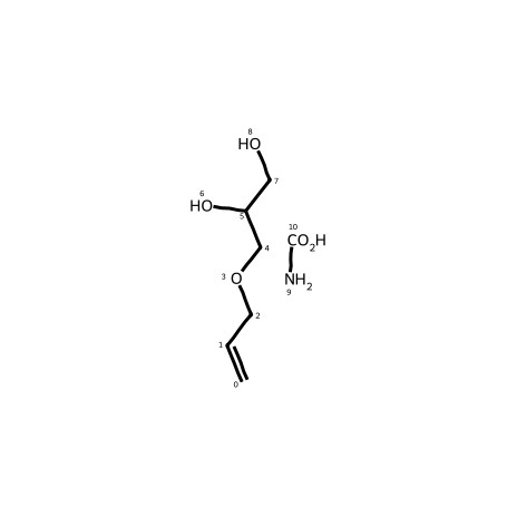 C=CCOCC(O)CO.NC(=O)O